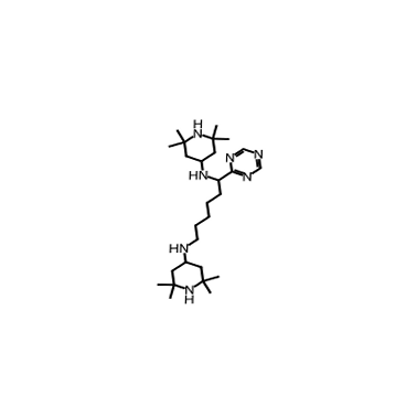 CC1(C)CC(NCCCCCC(NC2CC(C)(C)NC(C)(C)C2)c2ncncn2)CC(C)(C)N1